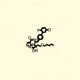 CCCCCOCC[C@](C)(C[C@@H](Cc1ccc(-c2cc(Cl)ccc2F)cc1)NC(=O)c1cnn[nH]1)C(=O)O